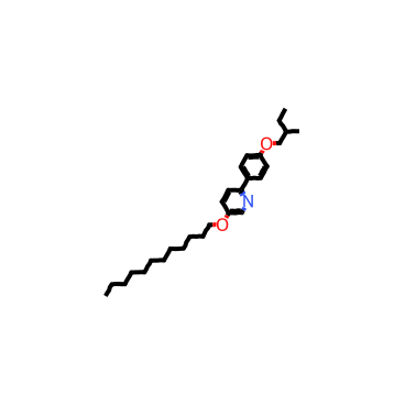 CCCCCCCCCCCCOc1ccc(-c2ccc(OCC(C)CC)cc2)nc1